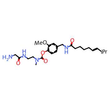 COc1cc(CNC(=O)CCCC/C=C/C(C)C)ccc1OC(=O)N(C)CCNC(=O)CN